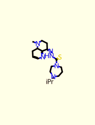 CC(C)N1CCCN(C(=S)N/N=C2/CCN(C)C3CC=CN=C23)CC1